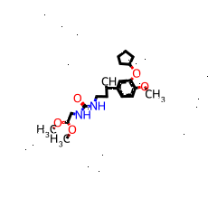 COc1ccc(C(C)CCNC(=O)NCC(OC)OC)cc1OC1CCCC1